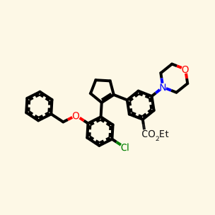 CCOC(=O)c1cc(C2=C(c3cc(Cl)ccc3OCc3ccccc3)CCC2)cc(N2CCOCC2)c1